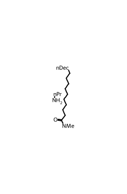 CCCCCCCCCCCCCCCCCCCC(=O)NC.CCCN